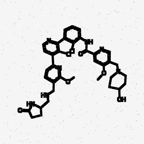 COc1cc(C(=O)Nc2cccc(-c3nccc(-c4ccc(CNCC5CCC(=O)N5)c(OC)n4)c3Cl)c2Cl)ncc1CN1CCC(O)CC1